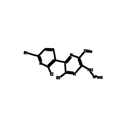 CCCCCNc1nc(CC)c(-c2ccc(C(C)C)nc2Cl)nc1OC